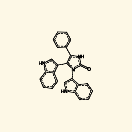 O=c1[nH]c(-c2ccccc2)c(-c2c[nH]c3ccccc23)n1-c1c[nH]c2ccccc12